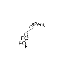 CCCCCC1CCC(CCc2ccc3c(F)c(-c4cc(F)cc(F)c4)ccc3c2)CC1